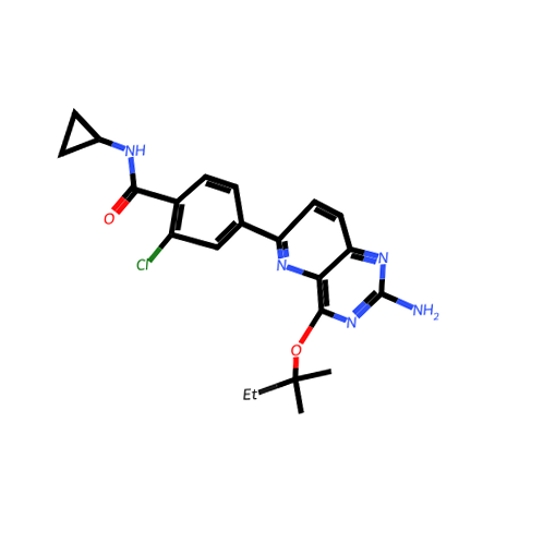 CCC(C)(C)Oc1nc(N)nc2ccc(-c3ccc(C(=O)NC4CC4)c(Cl)c3)nc12